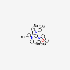 CC(C)(C)c1cccc(N2c3cc(C(C)(C)C)ccc3B3c4ccc(C(C)(C)C)cc4N(c4cccc(C(C)(C)C)c4)c4cc(N(c5ccccc5)c5cccc6c5oc5c(C(C)(C)C)cccc56)cc2c43)c1